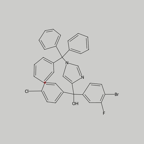 OC(c1ccc(Cl)cc1)(c1ccc(Br)c(F)c1)c1cn(C(c2ccccc2)(c2ccccc2)c2ccccc2)cn1